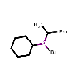 CCCCCC(C)P(C(C)CC)C1CCCCC1